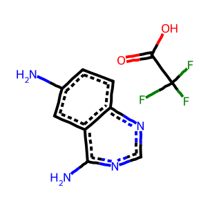 Nc1ccc2ncnc(N)c2c1.O=C(O)C(F)(F)F